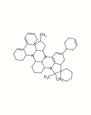 CC1CC2B3C4=C5C(CC(C6CC=CCC6)=C4)C4(CCCCC4)C(C)(C)N5C4CCCC(C34)N(C3CCCC=C3C3=CC=CCC3)C2S1